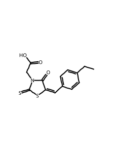 CCc1ccc(/C=C2/SC(=S)N(CC(=O)O)C2=O)cc1